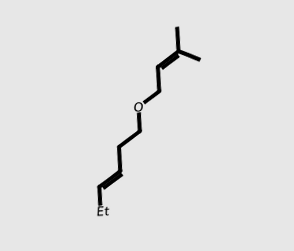 CC/C=C/CCOCC=C(C)C